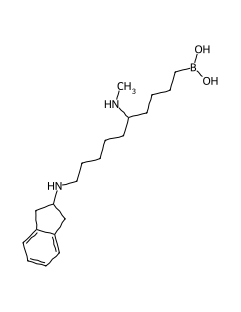 CNC(CCCCCNC1Cc2ccccc2C1)CCCCB(O)O